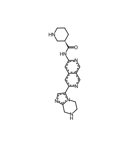 O=C(Nc1cc2cc(-c3cnc4n3CCNC4)ncc2cn1)[C@@H]1CCCNC1